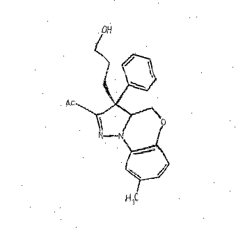 CC(=O)C1=NN2c3cc(C)ccc3OCC2[C@@]1(CCCO)c1ccccc1